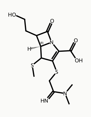 CSC1C(SCC(=N)N(C)C)=C(C(=O)O)N2C(=O)C(CCO)[C@H]12